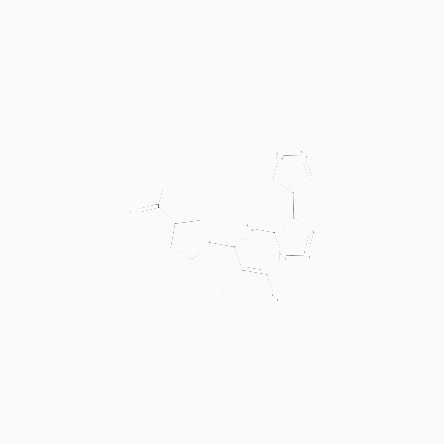 Cn1cc(-c2cnn3c(N)c(Br)c(C4CCC(C(=O)O)C4)nc23)cn1